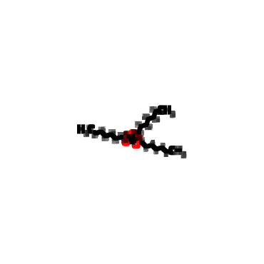 CCCCCCC[O][V](=[O])(=[O])([O]CCCCCCC)[O]CCCCCCC